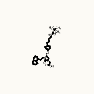 CC(C)(C)OC(=O)NCCCCc1ccc(OC[C@@H]2C[C@@H](CC(=O)O)C(=O)N2CCc2cccc3ccccc23)cc1